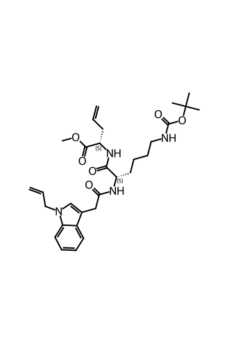 C=CC[C@H](NC(=O)[C@H](CCCCNC(=O)OC(C)(C)C)NC(=O)Cc1cn(CC=C)c2ccccc12)C(=O)OC